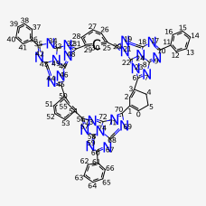 C1=C2C=C(CC1)C1=NC3=NC(c4ccccc4)=NC4=NC(=NC(=N1)N34)c1cccc(c1)C1=NC3=NC(c4ccccc4)=NC4=NC(=NC(=N1)N34)c1cccc(c1)C1=NC3=NC(c4ccccc4)=NC4=NC2=NC(=N1)N43